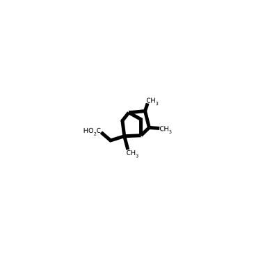 CC1C2CC(C1C)C(C)(CC(=O)O)C2